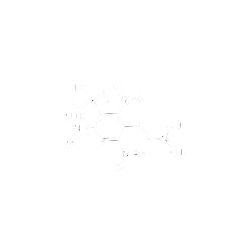 CN(C)/C=C/c1c([N+](=O)[O-])cc([N+](=O)[O-])c(C(C)(C)C)c1[N+](=O)[O-]